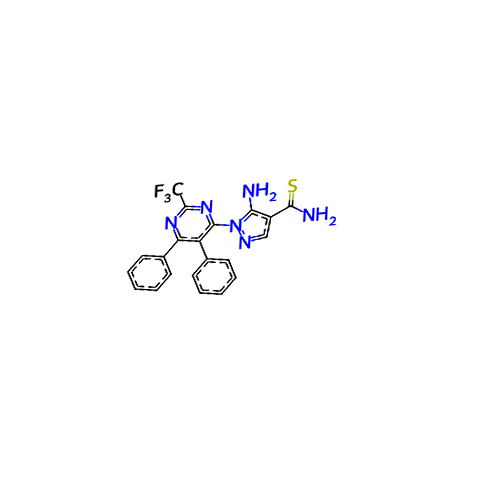 NC(=S)c1cnn(-c2nc(C(F)(F)F)nc(-c3ccccc3)c2-c2ccccc2)c1N